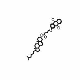 CC(C)CCCCC1CCC2C3CC=C4CC(OC(=O)CCCOc5ccc6c(c5)C(=O)C5C=CC=CC5C6=O)CCC4(C)C3CCC12C